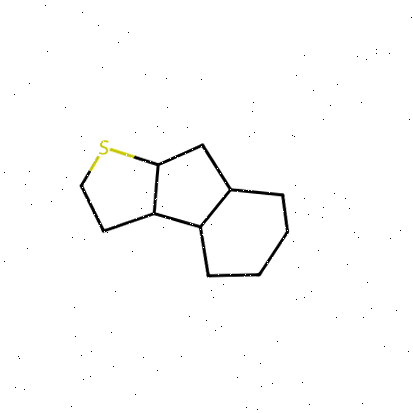 C1CCC2C(C1)CC1SCCC12